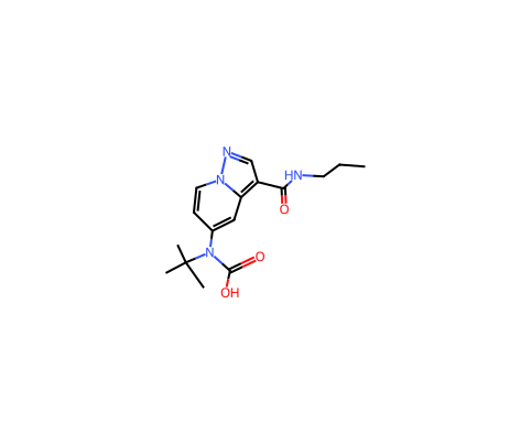 CCCNC(=O)c1cnn2ccc(N(C(=O)O)C(C)(C)C)cc12